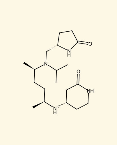 CC(C)N(C[C@@H]1CCC(=O)N1)[C@H](C)CC[C@H](C)N[C@H]1CCNC(=O)C1